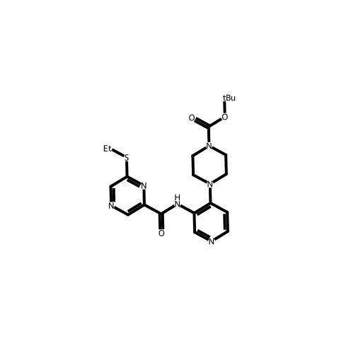 CCSc1cncc(C(=O)Nc2cnccc2N2CCN(C(=O)OC(C)(C)C)CC2)n1